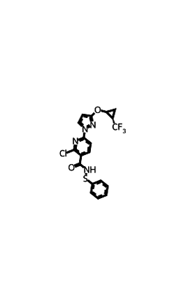 O=C(NSc1ccccc1)c1ccc(-n2ccc(OC3C[C@H]3C(F)(F)F)n2)nc1Cl